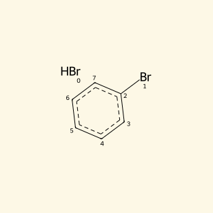 Br.Brc1ccccc1